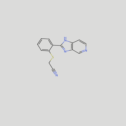 N#CCSc1ccccc1-c1nc2cnccc2[nH]1